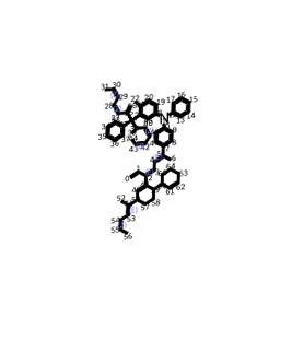 C=C/C(=C\C=C(/C)c1ccc(N(c2ccccc2)c2ccc(C)c(C(C(=C)/C=C\C=C/C)(c3ccccc3)C(C)/C=C\C=C/C)c2)cc1)C1=CC(/C(C)=C/C=C\C)CCC1C1C=CCCC1